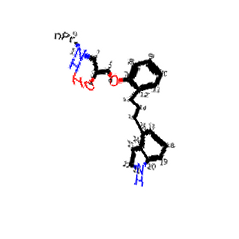 CCCNCC(O)COc1ccccc1CCCc1cccc2[nH]ccc12